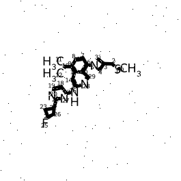 CSCC1CN(c2ccc(C(C)C)c3cc(Nc4ccnc(C5CC(F)C5)n4)ncc23)C1